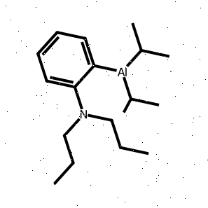 CCCN(CCC)c1cccc[c]1[Al]([CH](C)C)[CH](C)C